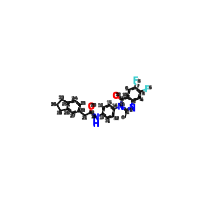 Cc1nc2cc(F)c(F)cc2c(=O)n1-c1ccc(NC(=O)Cc2ccc3c(c2)CCC3)cc1